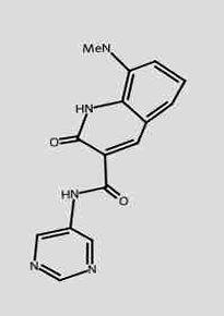 CNc1cccc2cc(C(=O)Nc3cncnc3)c(=O)[nH]c12